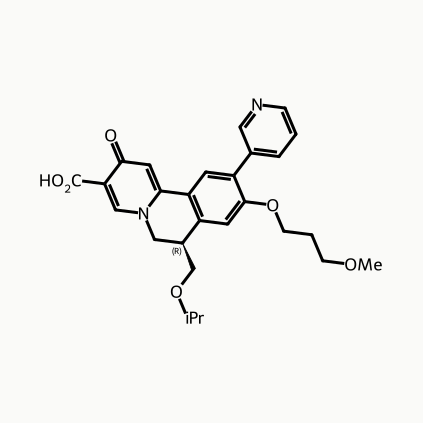 COCCCOc1cc2c(cc1-c1cccnc1)-c1cc(=O)c(C(=O)O)cn1C[C@@H]2COC(C)C